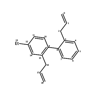 C=CCc1ccccc1-c1ccc(CC)cc1CC=C